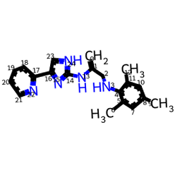 C=C(CNc1c(C)cc(C)cc1C)Nc1nc(-c2ccccn2)c[nH]1